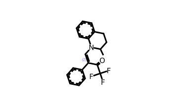 CC1CCc2ccccc2N1/C=C(\C(=O)C(F)(F)F)c1ccccc1